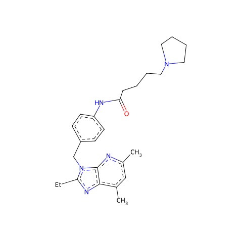 CCc1nc2c(C)cc(C)nc2n1Cc1ccc(NC(=O)CCCCN2CCCC2)cc1